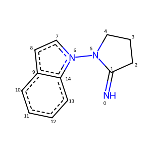 N=C1CCCN1n1ccc2ccccc21